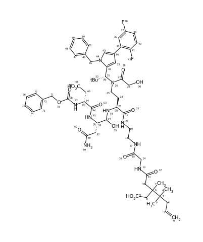 C=CCC(C)(C)C(C)(CC(=O)O)CC(=O)NCC(=O)NCCNC(=O)[C@H](CCN(C(=O)CO)[C@@H](c1cc(-c2cc(F)ccc2F)cn1Cc1ccccc1)C(C)(C)C)NC(O)[C@H](CC(N)=O)NC(=O)[C@@H](CC(=O)O)NC(=O)OCc1ccccc1